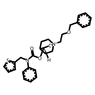 O=C(O[C@H]1C[N+]2(CCOCc3ccccc3)CCC1CC2)N(Cc1cccs1)c1ccccc1